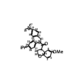 COc1ccc2c(c1)C(C(=O)N(Cc1ccc(N(C)C)cc1)c1ccc(C(C)C)cc1)CCO2